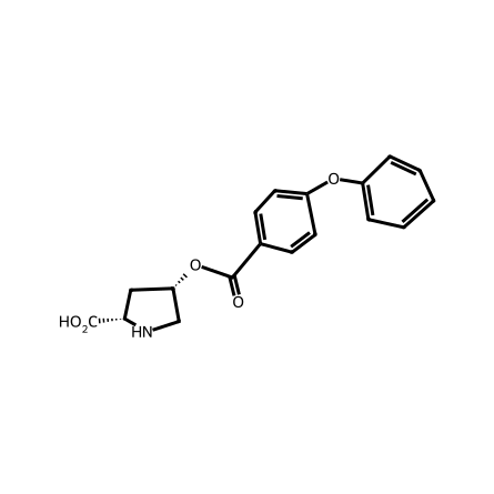 O=C(O[C@@H]1CN[C@H](C(=O)O)C1)c1ccc(Oc2ccccc2)cc1